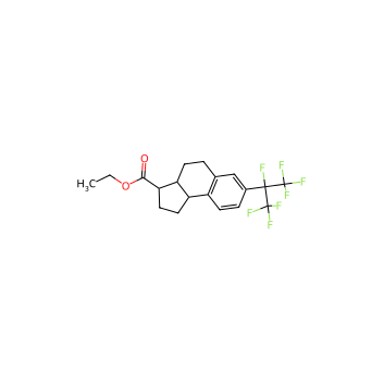 CCOC(=O)C1CCC2c3ccc(C(F)(C(F)(F)F)C(F)(F)F)cc3CCC12